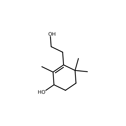 CC1=C(CCO)C(C)(C)CCC1O